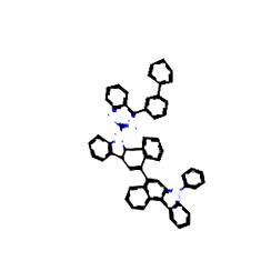 C1=C(c2cc3c(c4ccccc24)c2ccccc2n3-c2ccccc2)c2ccccc2C2C1c1ccccc1N2c1nc(-c2cccc(-c3ccccc3)c2)c2ccccc2n1